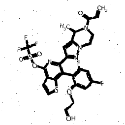 C=CC(=O)N1CCn2nc(-c3nc(OS(=O)(=O)C(F)(F)F)c4ccsc4c3-c3c(F)cc(F)cc3OCCO)cc2C1C